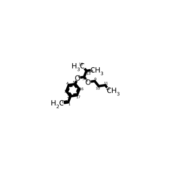 C=Cc1ccc(OC(OCCCC)C(C)C)cc1